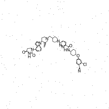 N#Cc1ccc(O[C@H]2CC[C@H](NC(=O)c3ccc(N4CCC(CN5CCC(n6ccc7c(N8CCC(=O)NC8=O)cccc76)[C@H](F)C5)CC4)nn3)CC2)cc1Cl